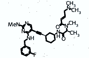 CNc1ncc(C#C[C@@H]2CCC[C@H](NC(=O)[C@H](C)N(C)C(=O)/C=C/CN(C)C)C2)c(NCc2cccc(F)c2)n1